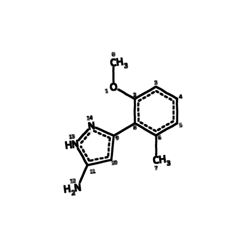 COc1cccc(C)c1-c1cc(N)[nH]n1